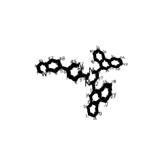 c1cnc2cc(-c3ccc(-c4nc(-c5cc6ccccc6c6ccccc56)cc(-c5cc6ccccc6c6ccccc56)n4)nc3)ccc2c1